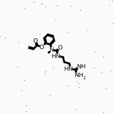 C=CC(=O)Oc1ccccc1N(C)C(=O)NCCCNC(=N)N